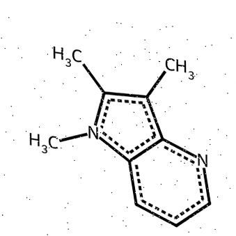 Cc1c(C)n(C)c2cccnc12